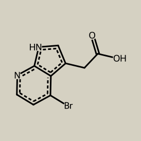 O=C(O)Cc1c[nH]c2nccc(Br)c12